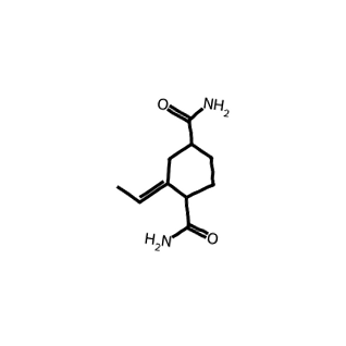 CC=C1CC(C(N)=O)CCC1C(N)=O